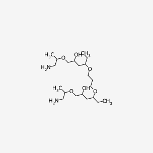 CCC(CC(O)COC(C)CN)OCCCOC(CC)CC(O)COC(C)CN